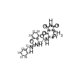 CC(C)[C@H](NC(=O)CC(NC(=O)NCc1ccccc1)c1ccccc1)C(=O)[C@@H]1C(=O)NC(=O)[C@H]1C